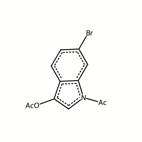 CC(=O)Oc1cn(C(C)=O)c2cc(Br)ccc12